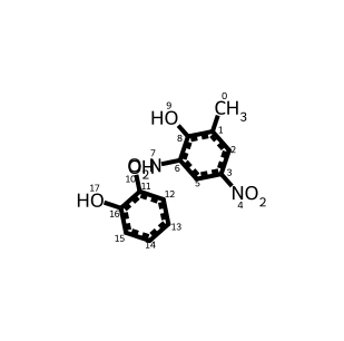 Cc1cc([N+](=O)[O-])cc([N+](=O)[O-])c1O.Oc1ccccc1O